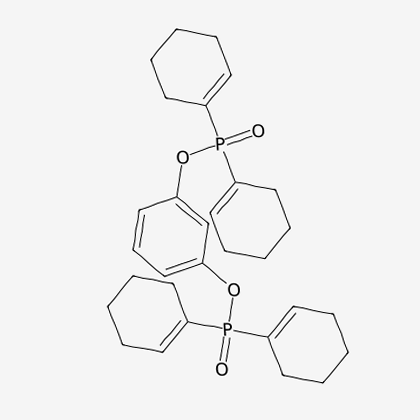 O=P(Oc1cccc(OP(=O)(C2=CCCCC2)C2=CCCCC2)c1)(C1=CCCCC1)C1=CCCCC1